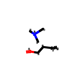 CN(C)C.OCC[AsH2]